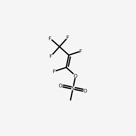 CS(=O)(=O)OC(F)=C(F)C(F)(F)F